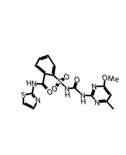 COc1cc(C)nc(NC(=O)NS(=O)(=O)c2ccccc2C(=O)Nc2nccs2)n1